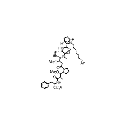 CC[C@H](C)[C@@H]([C@@H](CC(=O)N1CCC[C@H]1[C@H](OC)[C@@H](C)C(=O)N[C@@H](Cc1ccccc1)C(=O)O)OC)N(C)C(=O)[C@@H](NC(=O)[C@@H]1[C@H]2CC[C@H](C2)N1CCCCCCSC(C)=O)C(C)C